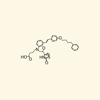 O=C(O)CCCN1CC(c2nsc(=O)[nH]2)Oc2c(/C=C/c3ccc(OCCCCc4ccccc4)cc3)cccc21